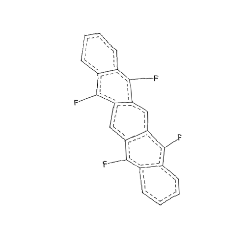 Fc1c2ccccc2c(F)c2cc3c(F)c4ccccc4c(F)c3cc12